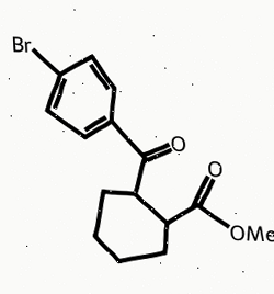 COC(=O)C1CCCCC1C(=O)c1ccc(Br)cc1